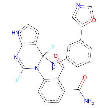 NC(=O)c1cccc(N2C(F)=Nc3[nH]ccc3C2(F)Nc2cccc(-c3cnco3)c2)c1C=O